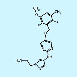 COc1cc(C)c(F)c(COc2cnc(Nc3cnn(CCN)c3)nc2)c1F